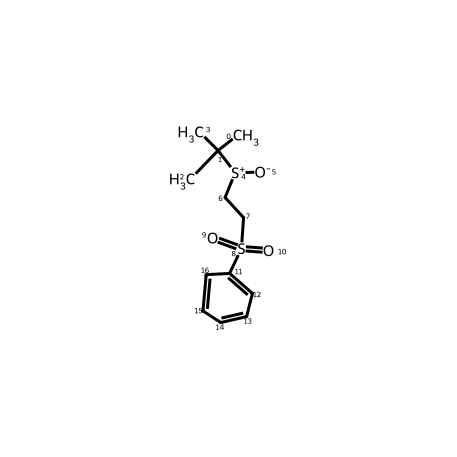 CC(C)(C)[S+]([O-])CCS(=O)(=O)c1ccccc1